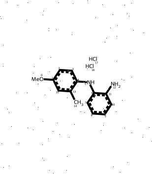 COc1ccc(Nc2ccccc2N)c(C)c1.Cl.Cl